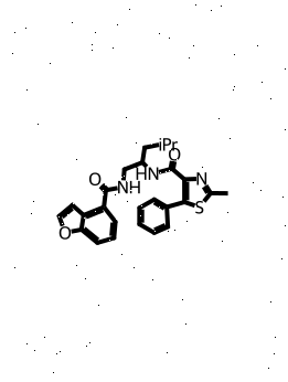 Cc1nc(C(=O)NC(CNC(=O)c2cccc3occc23)CC(C)C)c(-c2ccccc2)s1